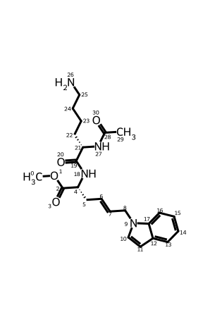 COC(=O)[C@@H](CC=CCn1ccc2ccccc21)NC(=O)[C@H](CCCCN)NC(C)=O